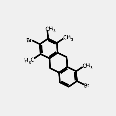 Cc1c(C)c2c(c(C)c1Br)Cc1ccc(Br)c(C)c1C2